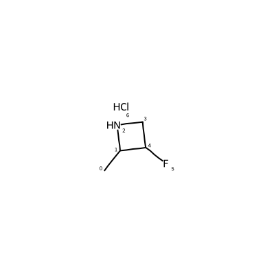 CC1NCC1F.Cl